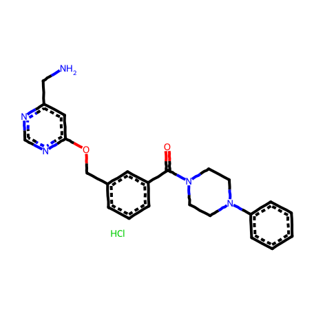 Cl.NCc1cc(OCc2cccc(C(=O)N3CCN(c4ccccc4)CC3)c2)ncn1